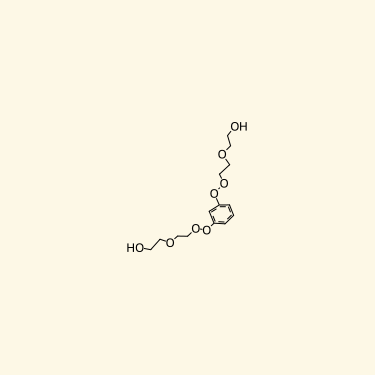 OCCOCCOOc1cccc(OOCCOCCO)c1